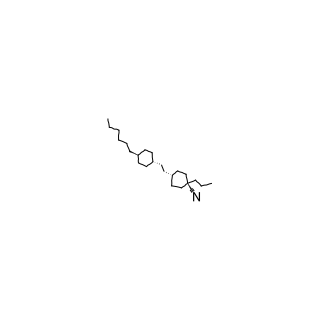 CCCCCC[C@H]1CC[C@H](CC[C@H]2CC[C@@](C#N)(CCC)CC2)CC1